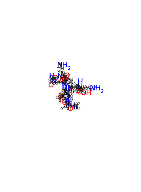 CC[C@H](C)[C@H](NC(=O)C(C)(C)N(C)C)C(=O)N(C)C(C[C@@H](OC(C)=O)c1nc(C(=O)N[C@@H](Cc2ccc(OC(=O)[C@@H](N)CCCCN)c(NC(=O)CCCN3C(=O)C=CC3=O)c2)CC(C)C(=O)N[C@@H](CCCCN)C(=O)O)cs1)C(C)C